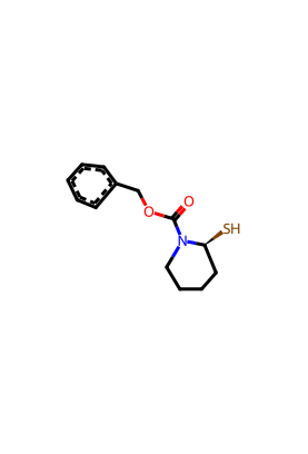 O=C(OCc1ccccc1)N1CCCC[C@@H]1S